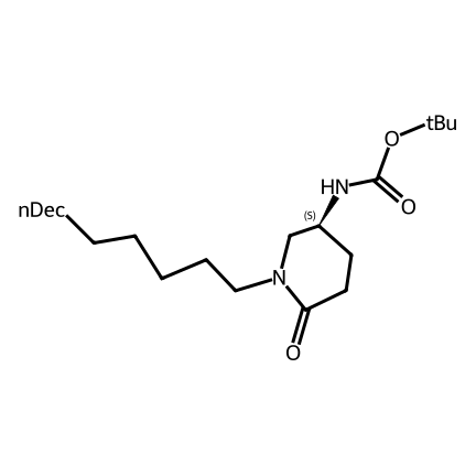 CCCCCCCCCCCCCCCN1C[C@@H](NC(=O)OC(C)(C)C)CCC1=O